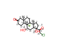 C[C@H]1C[C@H]2[C@@H]3CC[C@H]4CC(=O)CC[C@]4(C)[C@@]3(F)[C@@H](O)C[C@]2(C)[C@@]1(O)C(=O)CCl